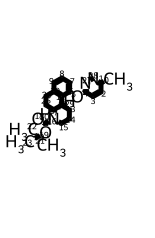 Cc1ccc(Oc2cccc3c2[C@H]2CCCN(C(=O)OC(C)(C)C)[C@H]2CC3)nn1